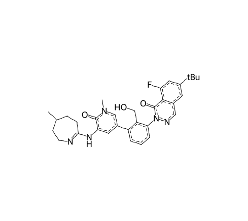 CC1CCN=C(Nc2cc(-c3cccc(-n4ncc5cc(C(C)(C)C)cc(F)c5c4=O)c3CO)cn(C)c2=O)CC1